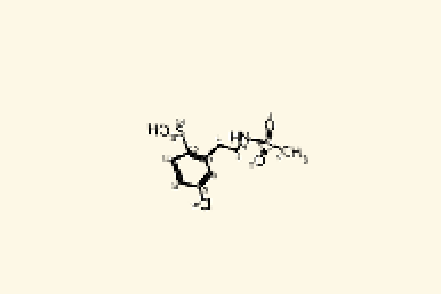 CS(=O)(=O)NCCc1cc(Cl)ccc1S(=O)(=O)O